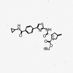 C=C1C[C@@H](C(=O)Nc2nc(-c3ccc(C(=O)NC4CC4)cc3)cs2)N(C(=O)OC(C)(C)C)C1